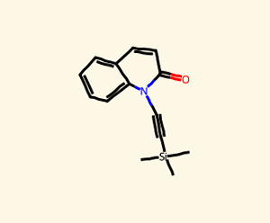 C[Si](C)(C)C#Cn1c(=O)ccc2ccccc21